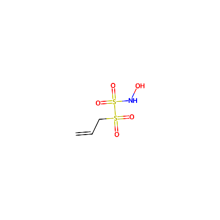 C=CCS(=O)(=O)S(=O)(=O)NO